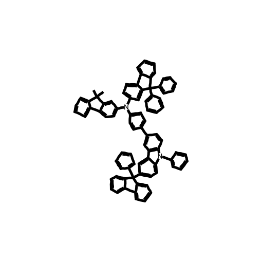 CC1(C)c2ccccc2-c2ccc(N(c3ccc(-c4ccc5c(c4)c4cc(C6(c7ccccc7)c7ccccc7-c7ccccc76)ccc4n5-c4ccccc4)cc3)c3ccc4c(c3)C(c3ccccc3)(c3ccccc3)c3ccccc3-4)cc21